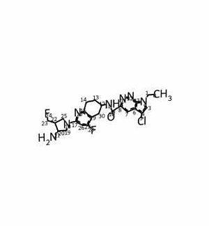 CCn1cc(Cl)c2cc(C(=O)NC3CCc4nc(N5CC(N)C(CF)C5)cc(F)c4C3)nnc21